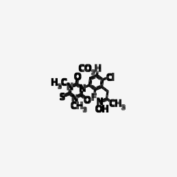 CC(Cc1c(F)c(-n2c(=O)n(C)c(=S)n(C)c2=O)cc(C(=O)O)c1Cl)=NO